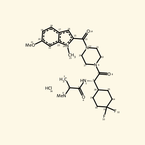 CNC(C)C(=O)N[C@H](C(=O)N1CCN(C(=O)c2cc3ccc(OC)cc3n2C)CC1)C1CCC(F)(F)CC1.Cl